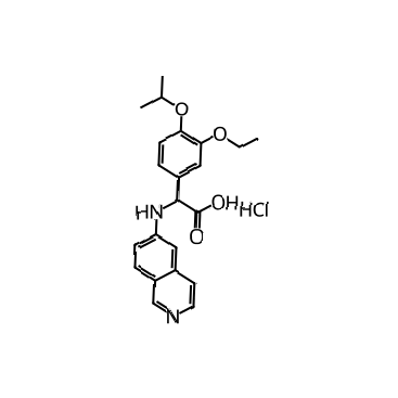 CCOc1cc(C(Nc2ccc3cnccc3c2)C(=O)O)ccc1OC(C)C.Cl